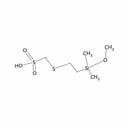 CO[Si](C)(C)CCSCS(=O)(=O)O